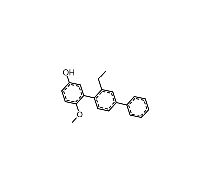 CCc1cc(-c2ccccc2)ccc1-c1cc(O)ccc1OC